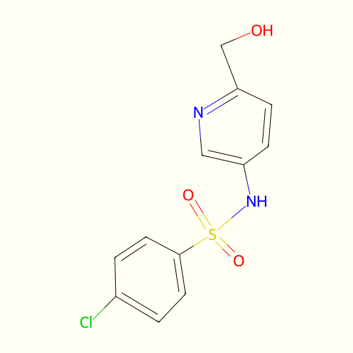 O=S(=O)(Nc1ccc(CO)nc1)c1ccc(Cl)cc1